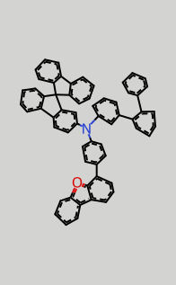 c1ccc(-c2ccccc2-c2cccc(N(c3ccc(-c4cccc5c4oc4ccccc45)cc3)c3ccc4c(c3)C3(c5ccccc5-c5ccccc53)c3ccccc3-4)c2)cc1